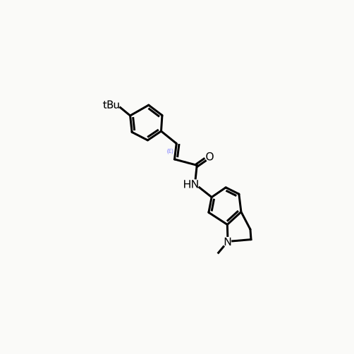 CN1CCc2ccc(NC(=O)/C=C/c3ccc(C(C)(C)C)cc3)cc21